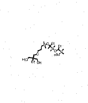 CCCC[Si](C)(C)C(CC)O[Si](C)(C)C(C)(CC)O[Si](C)(C)CCCOCC(CC)(CO)CO